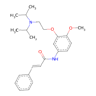 COc1ccc(NC(=O)C=Cc2ccccc2)cc1OCCN(C(C)C)C(C)C